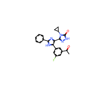 CC(=O)c1cc(F)cc(-c2[nH]c(-c3ccccc3)nc2-c2n[nH]c(=O)n2C2CC2)c1